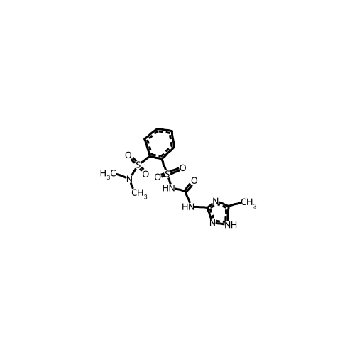 Cc1nc(NC(=O)NS(=O)(=O)c2ccccc2S(=O)(=O)N(C)C)n[nH]1